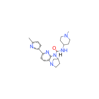 Cc1ccc(-c2ccc3c(n2)N(C(=O)NC2CCN(C)CC2)[C@H]2CCN3C2)cn1